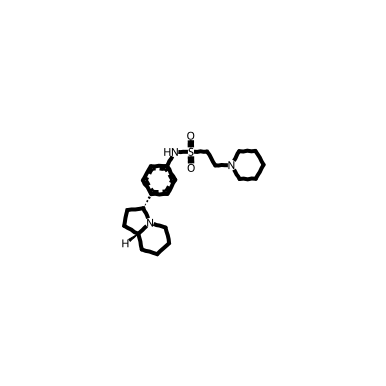 O=S(=O)(CCN1CCCCC1)Nc1ccc([C@H]2CC[C@H]3CCCCN32)cc1